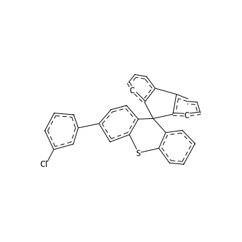 Clc1cccc(-c2ccc3c(c2)Sc2ccccc2C32c3ccccc3-c3ccccc32)c1